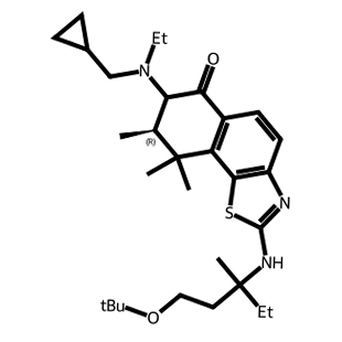 CCN(CC1CC1)C1C(=O)c2ccc3nc(NC(C)(CC)CCOC(C)(C)C)sc3c2C(C)(C)[C@H]1C